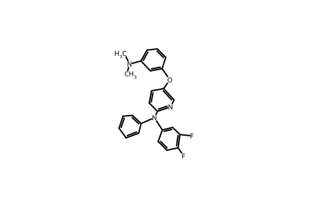 CN(C)c1cccc(Oc2ccc(N(c3ccccc3)c3ccc(F)c(F)c3)nc2)c1